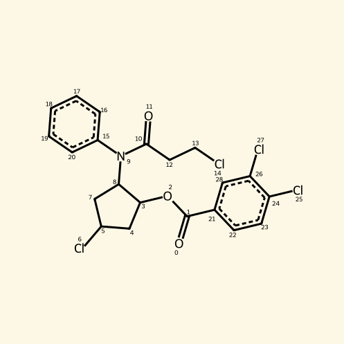 O=C(OC1CC(Cl)CC1N(C(=O)CCCl)c1ccccc1)c1ccc(Cl)c(Cl)c1